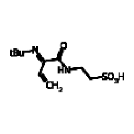 C=C/C(=N\C(C)(C)C)C(=O)NCCS(=O)(=O)O